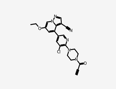 C#CC(=O)N1CCN(c2ncc(-c3cc(OCC)cn4ncc(C#N)c34)cc2Cl)CC1